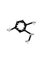 CCCNc1cc(N)ccc1O